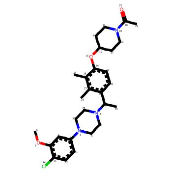 COc1cc(N2CCN(C(C)c3ccc(OC4CCN(C(C)=O)CC4)c(C)c3C)CC2)ccc1Cl